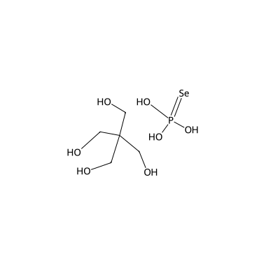 OCC(CO)(CO)CO.OP(O)(O)=[Se]